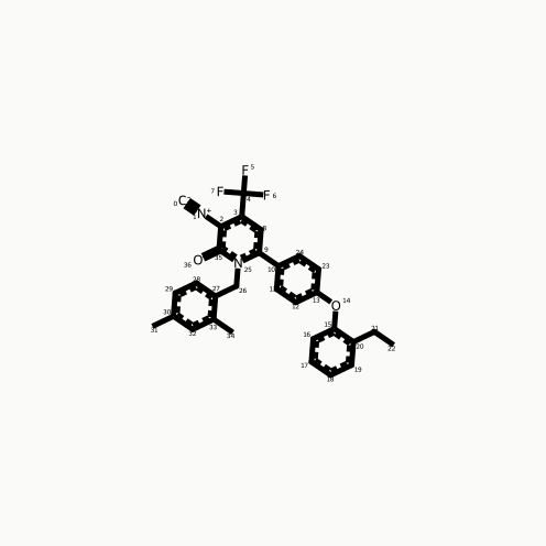 [C-]#[N+]c1c(C(F)(F)F)cc(-c2ccc(Oc3ccccc3CC)cc2)n(Cc2ccc(C)cc2C)c1=O